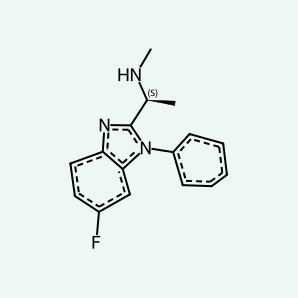 CN[C@@H](C)c1nc2ccc(F)cc2n1-c1ccccc1